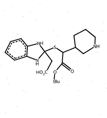 CC(C)(C)OC(=O)C(SC1(CC(=O)O)Nc2ccccc2N1)C1CCCNC1